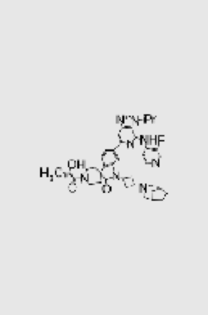 CC(C)n1cnc2cc(-c3ccc4c(c3)N([C@H]3C[C@@H](N5CC6CCC(C6)C5)C3)C(=O)C43CCN(C(=O)[C@@H](C)O)CC3)nc(Nc3ccncc3F)c21